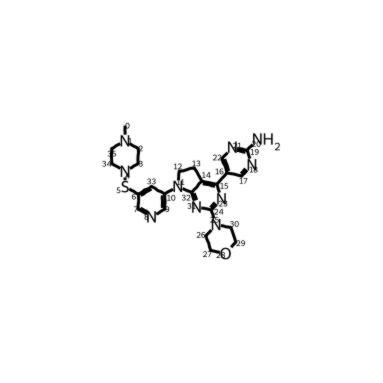 CN1CCN(Sc2cncc(N3CCc4c(-c5cnc(N)nc5)nc(N5CCOCC5)nc43)c2)CC1